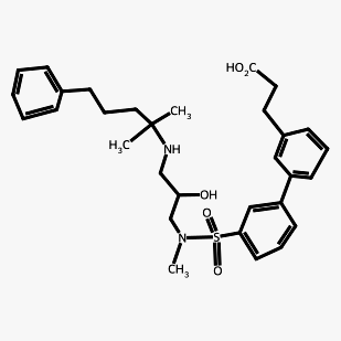 CN(CC(O)CNC(C)(C)CCCc1ccccc1)S(=O)(=O)c1cccc(-c2cccc(CCC(=O)O)c2)c1